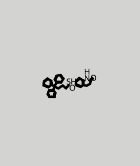 O=C1CCc2cc(OC(S)CCCC(c3ccccc3)(c3ccccc3)c3ccccc3)ccc2N1